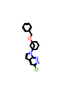 Clc1cc2ccn(C34CCCC(OCc5ccccc5)(C3)C4)c2nn1